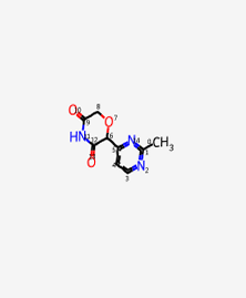 Cc1nccc(C2OCC(=O)NC2=O)n1